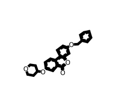 O=c1oc2cc(OCc3ccccc3)ccc2c2ccc(OC3CCOCC3)cc12